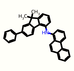 CC1(C)c2cc(-c3ccccc3)ccc2-c2c(Nc3cccc4c3ccc3ccccc34)cccc21